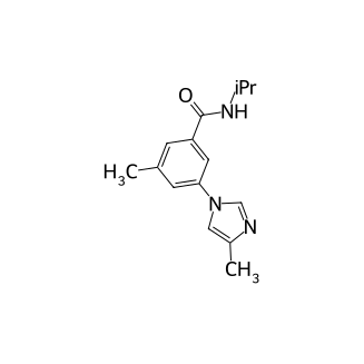 Cc1cc(C(=O)NC(C)C)cc(-n2cnc(C)c2)c1